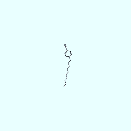 C#Cc1ccc(CCCCCCCCCC)cc1